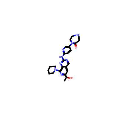 CC(O)c1cc2cnc(Nc3ccc(N4CCNCCC4=O)cn3)nc2c(N2CCCCC2)n1